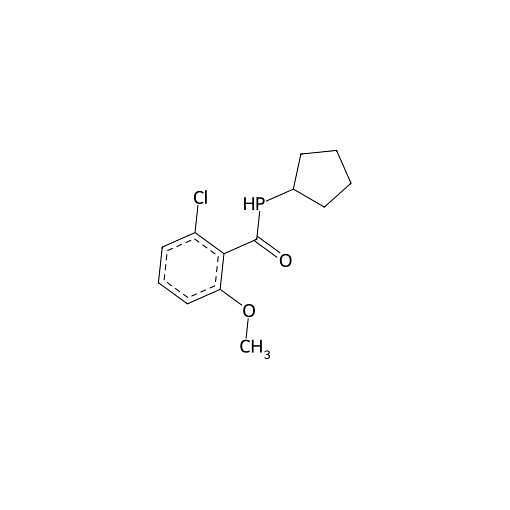 COc1cccc(Cl)c1C(=O)PC1CCCC1